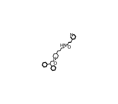 O=C(C=Cc1cccnc1)NCCCCC1CCN(C(=O)CC(c2ccccc2)c2ccccc2)CC1